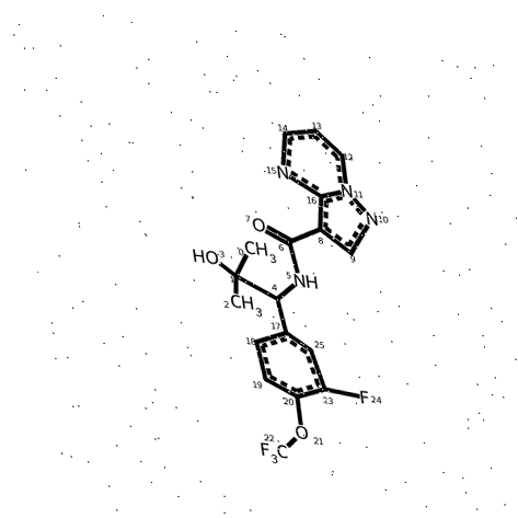 CC(C)(O)C(NC(=O)c1cnn2cccnc12)c1ccc(OC(F)(F)F)c(F)c1